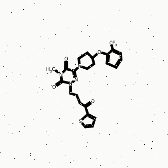 Cn1c(=O)c(N2CCC(Oc3ccccc3C(F)(F)F)CC2)nn(CCCC(=O)c2cccs2)c1=O